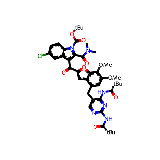 COc1cc(Cc2cnc(NC(=O)C(C)(C)C)nc2NC(=O)C(C)(C)C)c2cc(C(=O)c3c(C(=O)N(C)C)n(C(=O)OC(C)(C)C)c4ccc(Cl)cc34)oc2c1OC